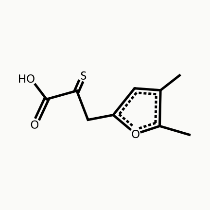 Cc1cc(CC(=S)C(=O)O)oc1C